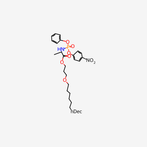 CCCCCCCCCCCCCCCCOCCCOC(=O)C(C)NP(=O)(Oc1ccccc1)Oc1ccc([N+](=O)[O-])cc1